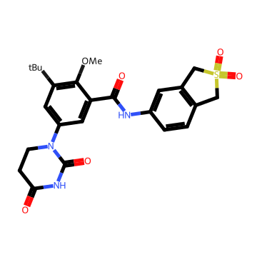 COc1c(C(=O)Nc2ccc3c(c2)CS(=O)(=O)C3)cc(N2CCC(=O)NC2=O)cc1C(C)(C)C